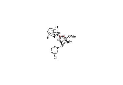 CCCn1nc(N[C@@H]2[C@@H]3CC[C@H]2CN(c2cnnc(OC)c2)C3)nc1Oc1cccc(Cl)c1